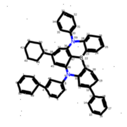 c1ccc(-c2cccc(N3c4cc(-c5ccccc5)ccc4B4c5ccccc5N(c5ccccc5)c5cc(C6CCCCC6)cc3c54)c2)cc1